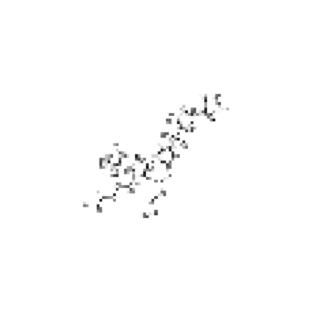 CCCCCCc1cc(C(C)(CC)c2ccc(-c3cccs3)s2)sc1-c1cc(CCCCCC)c(C(C)(Br)CC)s1